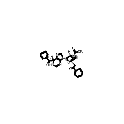 NC1(C(=O)c2ccccc2)NC=Nc2c1ncn2[C@@H]1O[C@@]2(CC(=O)c3ccccc3)CN(C(=O)C(F)(F)F)[C@H]1[C@H]2O